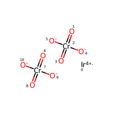 [Ir+4].[O]=[Cr](=[O])([O-])[O-].[O]=[Cr](=[O])([O-])[O-]